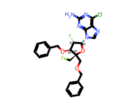 Nc1nc(Cl)c2ncn([C@@H]3O[C@](CF)(COCc4ccccc4)[C@@H](OCc4ccccc4)[C@@H]3F)c2n1